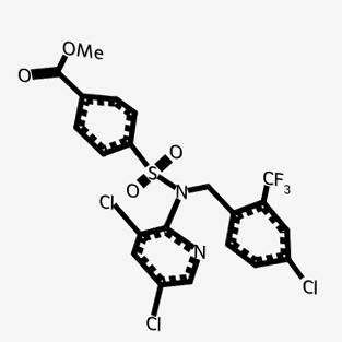 COC(=O)c1ccc(S(=O)(=O)N(Cc2ccc(Cl)cc2C(F)(F)F)c2ncc(Cl)cc2Cl)cc1